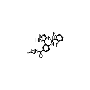 O=C(NCCF)c1ccc2c(c1)-c1[nH]ncc1NC(c1c(F)cccc1F)=N2